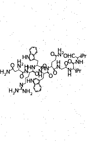 CC(C)C(C=O)NC(=O)C(NC(=O)CNC(=O)C(CCC(N)=O)NC(=O)C(Cc1c[nH]c2ccccc12)NC(=O)C(Cc1c[nH]c2ccccc12)NC(=O)C(CCCN=C(N)N)NC(=O)C(N)CC(N)=O)C(C)C